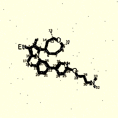 CCc1c(C)c(C2CCC[C@@H](C)O[C@@H](C)C2)n2c1cnc1ccc(-c3ccc(OCCCN(C)C)nc3)cc12